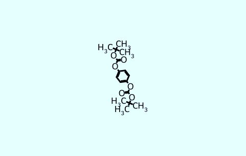 CC(C)(C)OC(=O)Oc1ccc(OC(=O)OC(C)(C)C)cc1